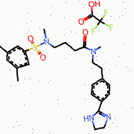 Cc1cc(C)cc(S(=O)(=O)N(C)CCCC(=O)N(C)CCc2ccc(C3=NCCN3)cc2)c1.O=C(O)C(F)(F)F